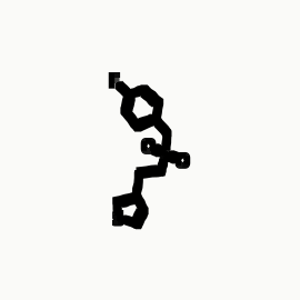 O=S(=O)(C=Cc1ccsc1)Cc1ccc(F)cc1